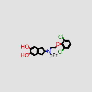 CCCN(CCOc1c(Cl)cccc1Cl)C1Cc2cc(O)c(O)cc2C1